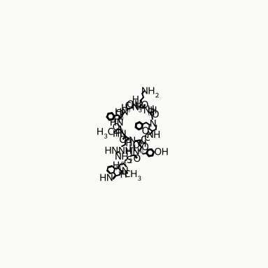 CCC[C@@H]1NC(=O)[C@H](CCCNC(=N)N)NC(=O)[C@H](CC(=O)[C@H](Cc2ccc(O)cc2)NC(=O)CSC[C@@H]2C[C@@H]3C4C=CC=C5NC=C(C[C@H]3N(C)C2)C54)CCNC2CCN(C(=O)[C@H](I)NC(=O)[C@H](CCCCN)NC(=O)[C@@H](C)NC(=O)[C@H](Cc3ccccc3)NC1=O)C(Cc1ccccc1)C2=O